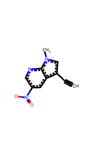 C#Cc1cn(C)c2ncc([N+](=O)[O-])cc12